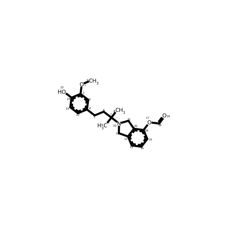 COc1cc(CCC(C)(C)N2Cc3cccc(OC=O)c3C2)ccc1O